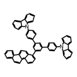 c1ccc2c(c1)ccc1c3cccc(-c4cc(-c5ccc(-n6c7ccccc7c7ccccc76)cc5)cc(-c5ccc(-n6c7ccccc7c7ccccc76)cc5)c4)c3ccc21